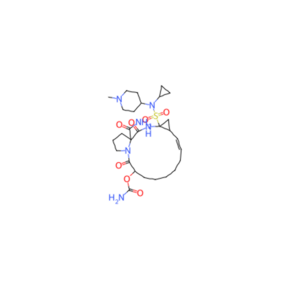 CN1CCC(N(C2CC2)S(=O)(=O)C23CC2C=CCCCCCC(OC(N)=O)C(=O)N2CCCC2(C(N)=O)C(=O)N3)CC1